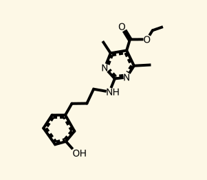 CCOC(=O)c1c(C)nc(NCCCc2cccc(O)c2)nc1C